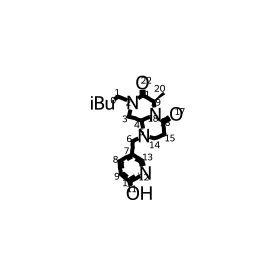 CCC(C)CN1CC2N(Cc3ccc(O)nc3)CCC(=O)N2[C@H](C)C1=O